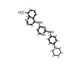 Cc1cccc2c(Nc3ccnc(Nc4ccc(N5CCCCC5)cc4)n3)cnnc12